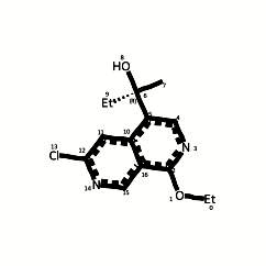 CCOc1ncc([C@](C)(O)CC)c2cc(Cl)ncc12